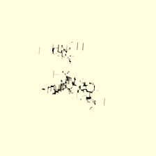 CC1CN(CCCNc2ncc(Cl)c(-c3cc4c(C(=O)NC5CC5)cccc4s3)n2)CC(C)N1.Cl.Cl.Cl